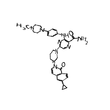 CN1CCN(c2ccc(Nc3nc(N4CCC[C@@H](n5ccc6cc(C7CC7)ccc6c5=O)C4)cnc3C(N)=O)cc2)CC1